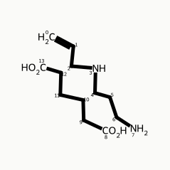 C=CCNCCCN.O=C(O)CCCCC(=O)O